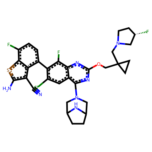 N#Cc1c(N)sc2c(F)ccc(-c3c(Cl)cc4c(N5CC6CCC(C5)N6)nc(OCC5(CN6CC[C@H](F)C6)CC5)nc4c3F)c12